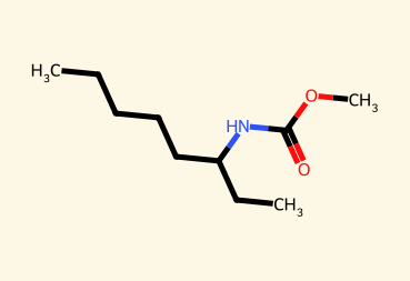 CCCCCC(CC)NC(=O)OC